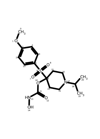 COc1ccc(S(=O)(=O)C2(OC(=O)NO)CCN(C(C)C)CC2)cc1